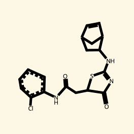 O=C(CC1SC(NC2CC3C=CC2C3)=NC1=O)Nc1ccccc1Cl